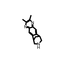 Cc1nc2cc3c(cc2nc1C)C1CNCC3C1